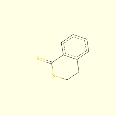 S=C1SCCc2ccccc21